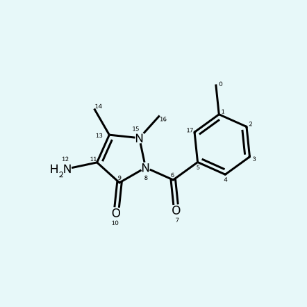 Cc1cccc(C(=O)n2c(=O)c(N)c(C)n2C)c1